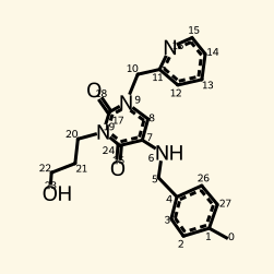 Cc1ccc(CNc2cn(Cc3ccccn3)c(=O)n(CCCO)c2=O)cc1